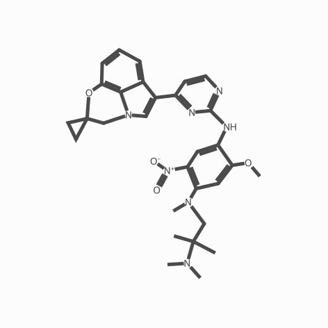 COc1cc(N(C)CC(C)(C)N(C)C)c([N+](=O)[O-])cc1Nc1nccc(-c2cn3c4c(cccc24)OC2(CC2)C3)n1